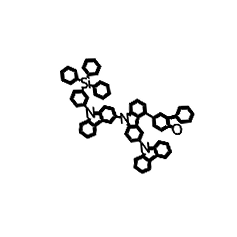 c1ccc([Si](c2ccccc2)(c2ccccc2)c2cccc(-n3c4ccccc4c4cc(-n5c6ccc(-n7c8ccccc8c8ccccc87)cc6c6c(-c7ccc8oc9ccccc9c8c7)cccc65)ccc43)c2)cc1